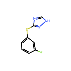 Fc1cccc(Sc2nc[nH]n2)c1